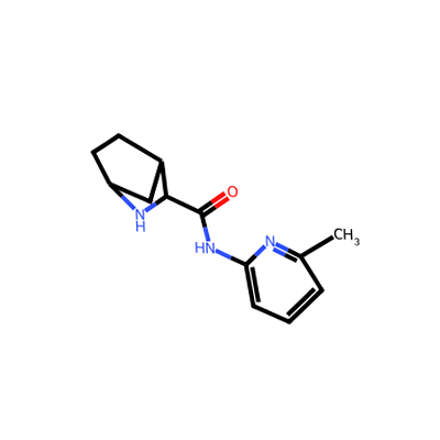 Cc1cccc(NC(=O)C2NC3CCC2C3)n1